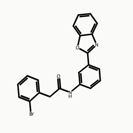 O=C(Cc1ccccc1Br)Nc1cccc(-c2nc3ccccc3o2)c1